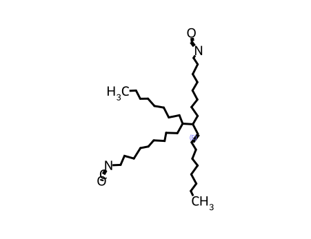 CCCCCCC/C=C/C(CCCCCCCCN=C=O)C(CCCCCCCC)CCCCCCCCCN=C=O